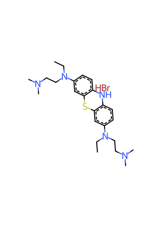 Br.CCN(CCN(C)C)c1ccc2c(c1)Sc1cc(N(CC)CCN(C)C)ccc1N2